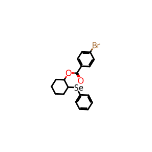 O=C(OC1CCCCC1[Se]c1ccccc1)c1ccc(Br)cc1